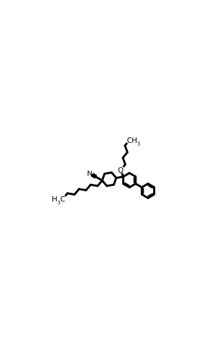 CCCCCCCC1(C#N)CCC(C2(OCCCCC)C=CC(c3ccccc3)=CC2)CC1